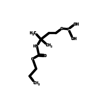 CCCOC(=O)NC(C)(C)CCOP(O)O